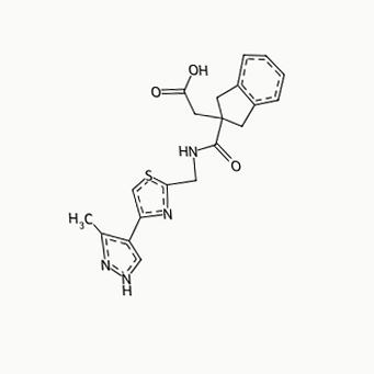 Cc1n[nH]cc1-c1csc(CNC(=O)C2(CC(=O)O)Cc3ccccc3C2)n1